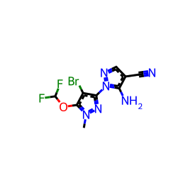 Cn1nc(-n2ncc(C#N)c2N)c(Br)c1OC(F)F